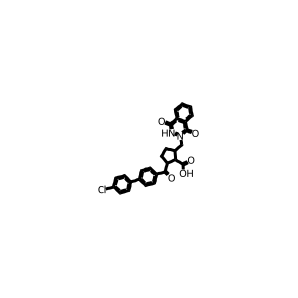 O=C(c1ccc(-c2ccc(Cl)cc2)cc1)C1CCC(Cn2[nH]c(=O)c3ccccc3c2=O)C1C(=O)O